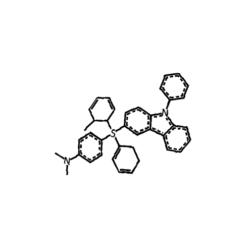 CC1C=CC=CC1S(C1=CC=CCC1)(c1ccc(N(C)C)cc1)c1ccc2c(c1)c1ccccc1n2-c1ccccc1